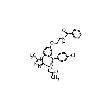 CC(=O)C[C@@H]1N=C(c2ccc(Cl)cc2)c2cc(OCCNC(=O)c3ccccc3)ccc2-n2c(C)nnc21